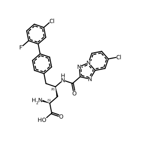 N[C@@H](C[C@@H](Cc1ccc(-c2cc(Cl)ccc2F)cc1)NC(=O)c1nc2cc(Cl)ccn2n1)C(=O)O